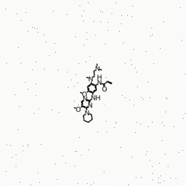 C=CC(=O)Nc1cc(Nc2ncc(OC)c(N3CCCCC3)n2)c(OC)cc1N(C)CCN(C)C